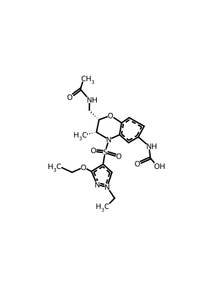 CCOc1nn(CC)cc1S(=O)(=O)N1c2cc(NC(=O)O)ccc2O[C@@H](CNC(C)=O)[C@H]1C